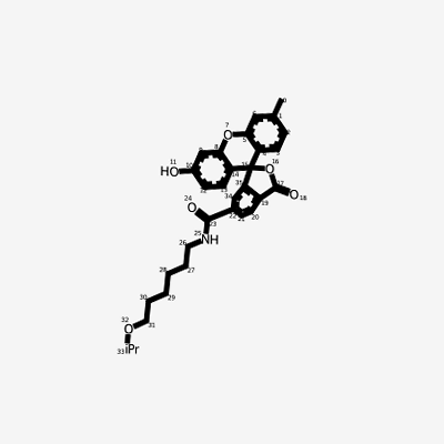 Cc1ccc2c(c1)Oc1cc(O)ccc1C21OC(=O)c2ccc(C(=O)NCCCCCCOC(C)C)cc21